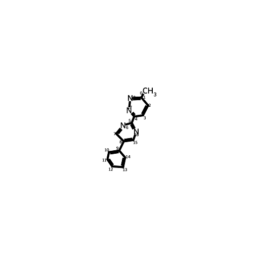 Cc1ccc(-c2ncc(-c3ccccc3)cn2)nn1